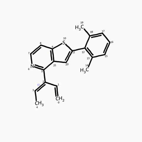 C=C/C(=C\C)c1nccc2sc(-c3c(C)cccc3C)cc12